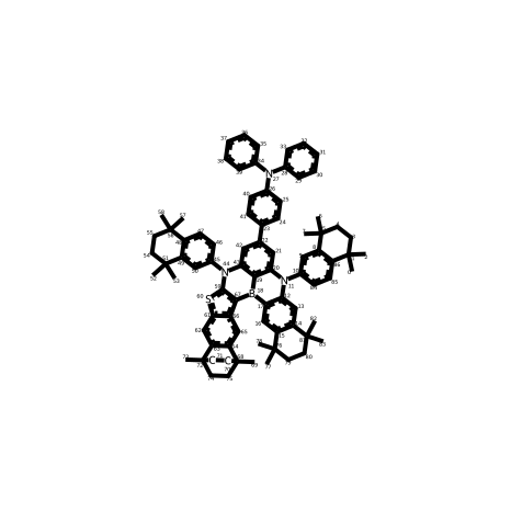 CC1(C)CCC(C)(C)c2cc(N3c4cc5c(cc4B4c6c3cc(-c3ccc(N(c7ccccc7)c7ccccc7)cc3)cc6N(c3ccc6c(c3)C(C)(C)CCC6(C)C)c3sc6cc7c(cc6c34)C3(C)CCC7(C)CC3)C(C)(C)CCC5(C)C)ccc21